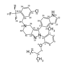 Cc1cccc(OCC(C)C)c1-n1nc2c(c1-c1ccc3[nH]ccc3c1)CN(Cc1cc(Cl)ccc1C(F)(F)F)CC2